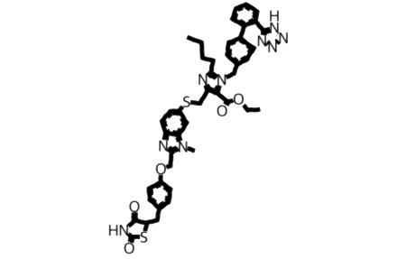 CCCCc1nc(CSc2ccc3nc(COc4ccc(CC5SC(=O)NC5=O)cc4)n(C)c3c2)c(C(=O)OCC)n1Cc1ccc(-c2ccccc2-c2nnn[nH]2)cc1